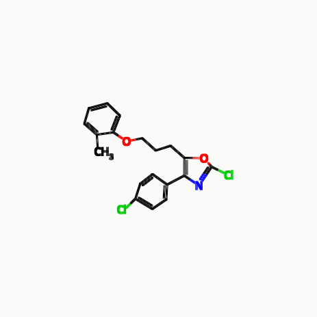 Cc1ccccc1OCCCc1oc(Cl)nc1-c1ccc(Cl)cc1